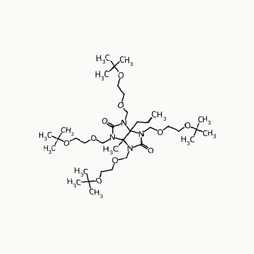 CCCC12N(COCCOC(C)(C)C)C(=O)N(COCCOC(C)(C)C)C1(C)N(COCCOC(C)(C)C)C(=O)N2COCCOC(C)(C)C